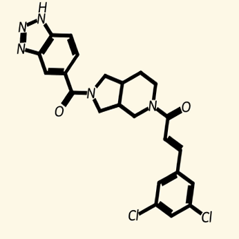 O=C(C=Cc1cc(Cl)cc(Cl)c1)N1CCC2CN(C(=O)c3ccc4[nH]nnc4c3)CC2C1